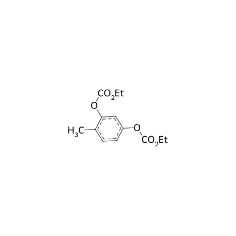 CCOC(=O)Oc1ccc(C)c(OC(=O)OCC)c1